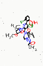 C=CC(=O)N1CCN2C(=O)c3c(N4C[C@@H](OCC)C[C@@H]4C)nc(-c4c(O)cccc4F)c(Cl)c3OC[C@H]2C1